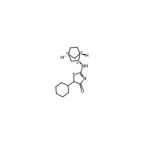 O=C1N=C(N[C@H]2C[C@H]3CC[C@H]2C3)SC1C1CCCCC1